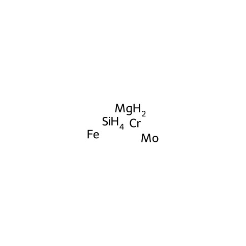 [Cr].[Fe].[MgH2].[Mo].[SiH4]